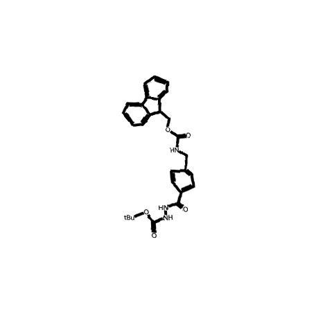 CC(C)(C)OC(=O)NNC(=O)c1ccc(CNC(=O)OCC2c3ccccc3-c3ccccc32)cc1